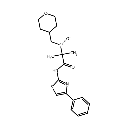 CC(C)(C(=O)Nc1nc(-c2ccccc2)cs1)[S@@+]([O-])CC1CCOCC1